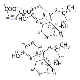 C[C+]1CC[C@]2(c3cccc(O)c3)CCCC[C@H]2NC1.C[C+]1CC[C@]2(c3cccc(O)c3)CCCC[C@H]2NC1.O=C([O-])/C=C\C(=O)[O-]